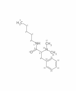 CCCCCNC(=O)C(Cc1ccccc1)N(C)C